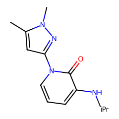 Cc1cc(-n2cccc(NC(C)C)c2=O)nn1C